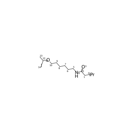 CC(C)CC(=O)NCCCCCCOC(C)I